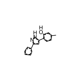 Cc1ccc(-c2cc(-c3ccccc3)n[nH]2)c(O)c1